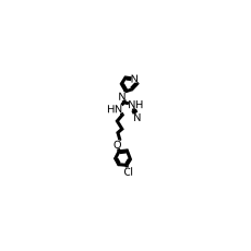 N#CN/C(=N\c1ccncc1)NCCCCCOc1ccc(Cl)cc1